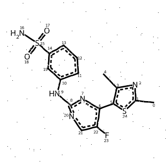 Cc1nc(C)c(-c2nc(Nc3cccc(S(N)(=O)=O)c3)ncc2F)s1